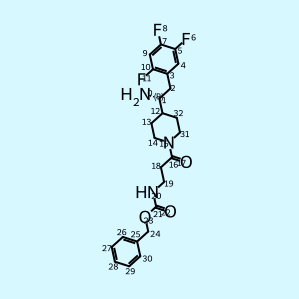 N[C@H](Cc1cc(F)c(F)cc1F)C1CCN(C(=O)CCNC(=O)OCc2ccccc2)CC1